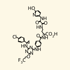 O=C(NCC[C@H](NC(=O)c1ccc(Nc2nc(NC3(c4ccc(Cl)cc4)CC3)nc(OCC(F)(F)F)n2)cc1)C(=O)O)C(=O)Nc1ccc(O)nc1